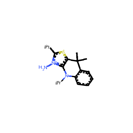 CC(C)c1sc2c([n+]1N)N(C(C)C)c1ccccc1C2(C)C